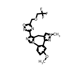 COc1ccc2c(c1)-c1nn(C)cc1Cc1c(-c3noc(COCC(F)(F)F)n3)ncn1-2